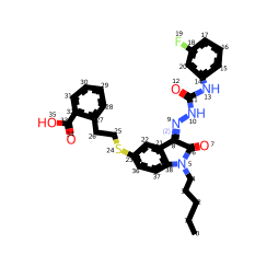 CCCCCN1C(=O)/C(=N\NC(=O)Nc2cccc(F)c2)c2cc(SCCc3ccccc3C(=O)O)ccc21